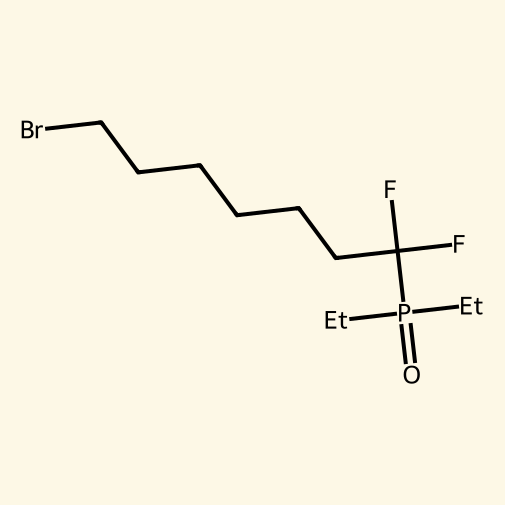 CCP(=O)(CC)C(F)(F)CCCCCCBr